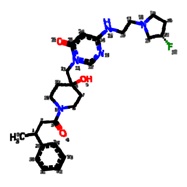 CC(CC(=O)N1CCC(O)(Cn2cnc(NCCN3CC[C@H](F)C3)cc2=O)CC1)c1ccccc1